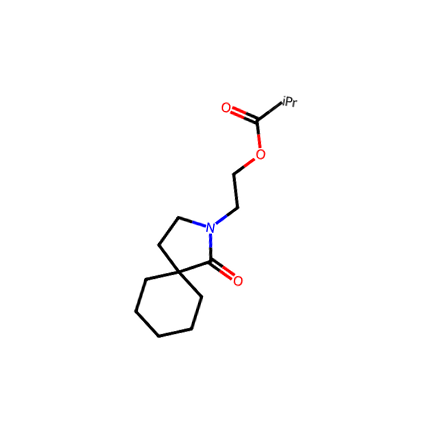 CC(C)C(=O)OCCN1CCC2(CCCCC2)C1=O